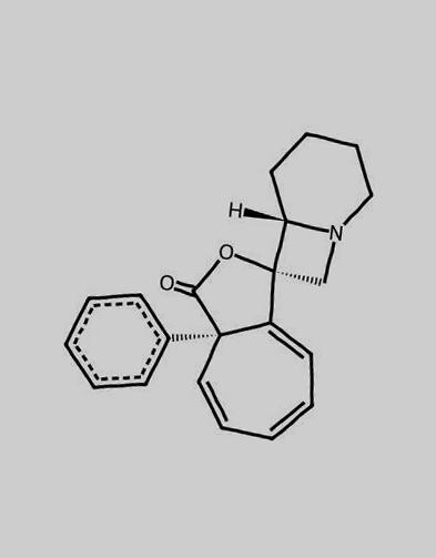 O=C1O[C@]2(CN3CCCC[C@H]32)C2=CC=CC=C[C@@]12c1ccccc1